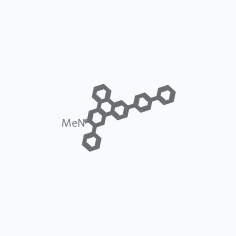 CNC1=Cc2c(c3ccc(-c4ccc(-c5ccccc5)cc4)cc3c3ccccc23)CC1c1ccccc1